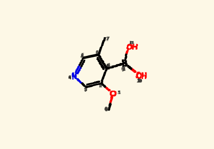 COc1cncc(C)c1B(O)O